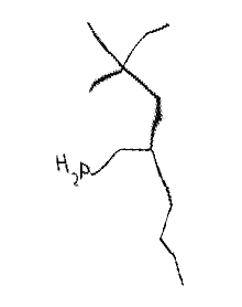 CCCC(P)CC(C)(C)C